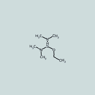 CCO[SiH](N(C)C)N(C)C